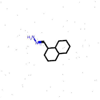 N/N=C/C1CCCC2CCCCC12